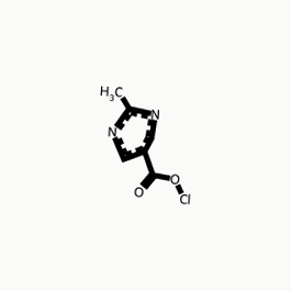 Cc1ncc(C(=O)OCl)cn1